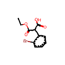 CCOC(=O)C(C(=O)O)c1ccccc1Br